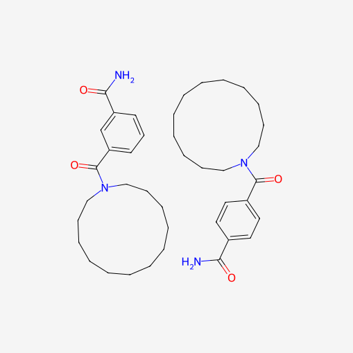 NC(=O)c1ccc(C(=O)N2CCCCCCCCCCCC2)cc1.NC(=O)c1cccc(C(=O)N2CCCCCCCCCCCC2)c1